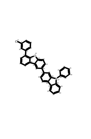 Clc1cccc(-c2cccc3c2oc2ccc(-c4ccc5c6ccccc6n(-c6ccccc6)c5c4)cc23)c1